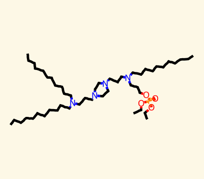 CCCCCCCCCCCN(CCCCCCCCCCC)CCCN1CCN(CCCN(CCCCCCCCCCC)CCCOP(=O)(OCC)OCC)CC1